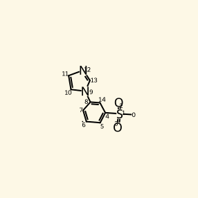 CS(=O)(=O)c1c[c]cc(-n2ccnc2)c1